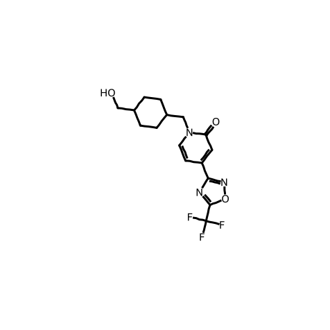 O=c1cc(-c2noc(C(F)(F)F)n2)ccn1CC1CCC(CO)CC1